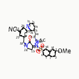 COc1ccc2ccc(S(=O)(=O)N([C@H]3CCN(Cc4cccc(C#N)c4)C3=O)N(CCc3cccnc3)C(C)=O)cc2c1